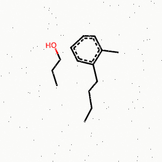 CCCCc1ccccc1C.CCCO